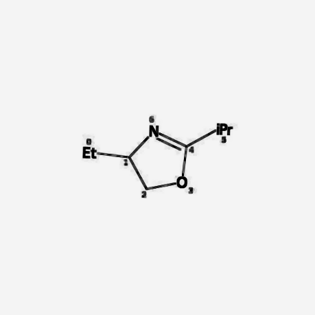 CCC1COC(C(C)C)=N1